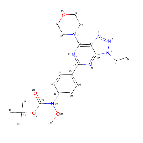 CCn1nnc2c(N3CCOCC3)nc(-c3ccc(N(OC)C(=O)OC(C)(C)C)cc3)nc21